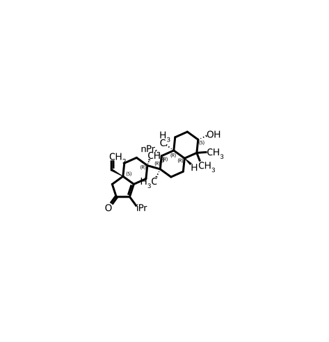 C=C[C@@]12CC[C@@](C)([C@]3(C)CC[C@H]4C(C)(C)[C@@H](O)CC[C@]4(C)[C@H]3CCC)CC1=C(C(C)C)C(=O)C2